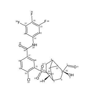 O=C[C@]1(O)CC2CCC3C(C31)[C@H]2S(=O)(=O)c1cc(C(=O)Nc2cc(F)c(F)c(F)c2)ccc1Cl